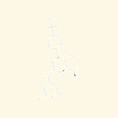 O=C(/N=C(/Nc1cc(F)cc(Cl)c1)N[C@H]1CCCC[C@H]1O)c1ccc(C(F)(F)F)cc1